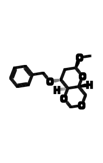 CO[C@@H]1C[C@@H](OCc2ccccc2)[C@@H]2OCOC[C@H]2O1